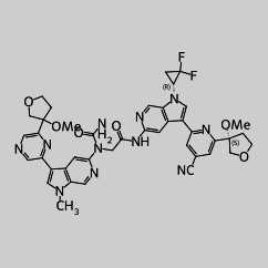 COC1(c2cncc(-c3cn(C)c4cnc(N(CC(=O)Nc5cc6c(-c7cc(C#N)cc([C@@]8(OC)CCOC8)n7)cn([C@@H]7CC7(F)F)c6cn5)C(N)=O)cc34)n2)CCOC1